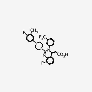 Cc1cc(N2CCN(C3=Nc4c(F)cccc4/C(=C\C(=O)O)N3c3cccc(C(F)(F)F)c3)CC2)ccc1F